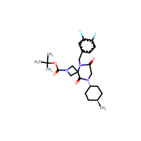 CC(C)(C)OC(=O)N1CC2(C1)C(=O)N([C@H]1CC[C@H](C)CC1)CC(=O)N2Cc1ccc(F)c(F)c1